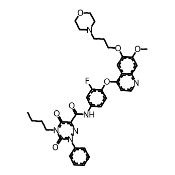 CCCCn1c(=O)c(C(=O)Nc2ccc(Oc3ccnc4cc(OC)c(OCCCN5CCOCC5)cc34)c(F)c2)nn(-c2ccccc2)c1=O